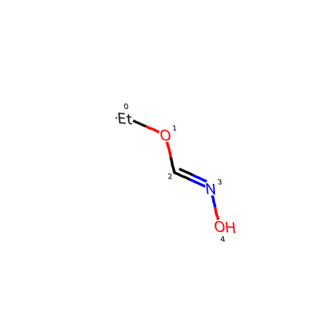 C[CH]OC=NO